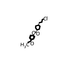 CCC(=O)c1ccc(OC(=O)[C@H]2CC[C@H](CCCCl)CC2)cc1